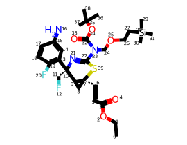 CCOC(=O)/C=C/[C@]12CC1[C@@](CF)(c1cc(N)ccc1F)N=C(N(COCC[Si](C)(C)C)C(=O)OC(C)(C)C)S2